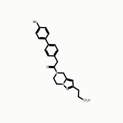 CC(C)(C)c1ccc(-c2ccc(CC(=O)N3CCn4nc(CCC(=O)O)cc4C3)cc2)cc1